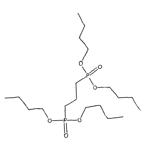 CCCCOP(=O)(CCCP(=O)(OCCCC)OCCCC)OCCCC